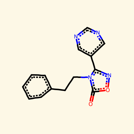 O=c1onc(-c2cncnc2)n1CCc1ccccc1